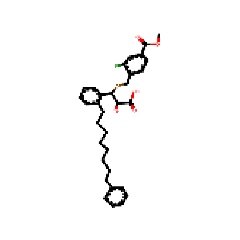 COC(=O)c1ccc(CSC(c2ccccc2CCCCCCCCc2ccccc2)C(O)C(=O)O)c(F)c1